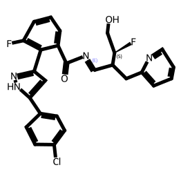 O=C(/N=C/C(Cc1ccccn1)[C@H](F)CO)c1cccc(F)c1-c1cc(-c2ccc(Cl)cc2)[nH]n1